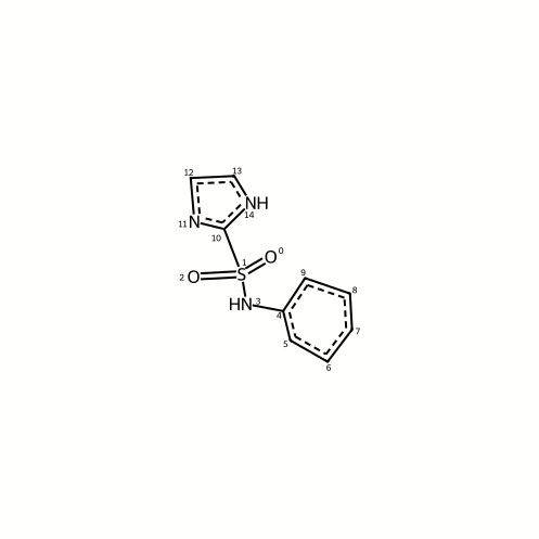 O=S(=O)(Nc1ccccc1)c1ncc[nH]1